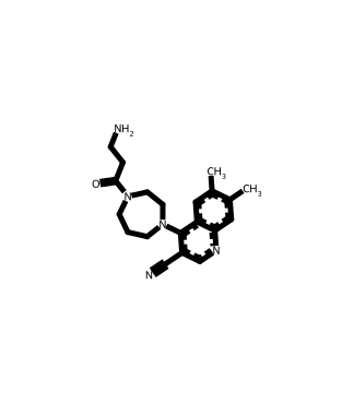 Cc1cc2ncc(C#N)c(N3CCCN(C(=O)CCN)CC3)c2cc1C